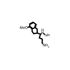 CCCNC(CCCN)C1CCc2c(cccc2OC)C1